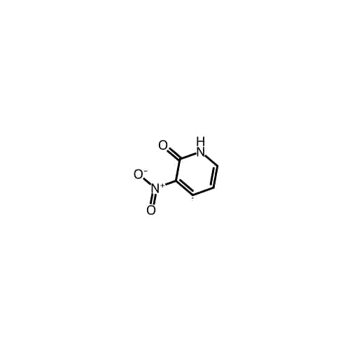 O=c1[nH]cc[c]c1[N+](=O)[O-]